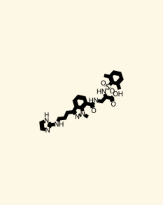 Cc1cccc(C)c1S(=O)(=O)NC(CNC(=O)c1cccc2c(CCCNc3ncc[nH]3)nn(C)c12)C(=O)O